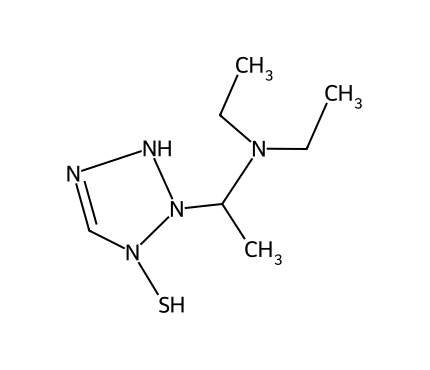 CCN(CC)C(C)N1NN=CN1S